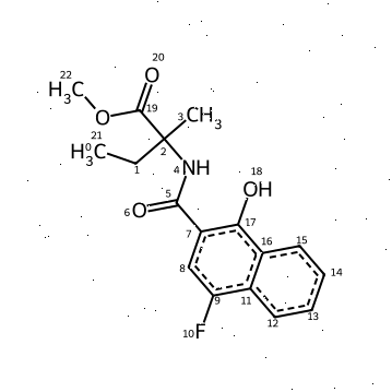 CCC(C)(NC(=O)c1cc(F)c2ccccc2c1O)C(=O)OC